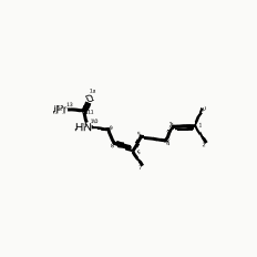 CC(C)=CCCC(C)=CCNC(=O)C(C)C